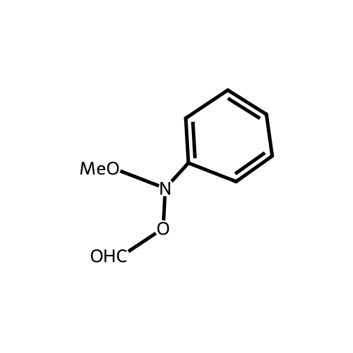 CON(OC=O)c1ccccc1